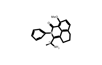 COc1ccc2c3c(c([C@H](C)N)n(-c4ccccc4)c(=O)c13)CCC2